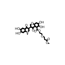 COC(=O)CCOCCOC(=O)c1c(O)c(O)cc2occ(-c3cn(C)c4cc(O)c(O)cc4c3=O)c(=O)c12